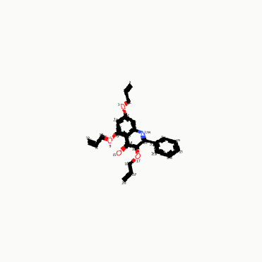 C=CCOc1cc2c(c(OCC=C)c1)C(=O)C(OCC=C)C(c1ccccc1)=N2